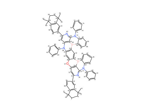 CC1(C)CCC(C)(C)c2cc(-c3cc4c5c(n3)N(c3ccccc3)c3ccccc3B5c3cc5c(cc3O4)N(c3ccccc3)c3cc(-c4ccc6c(c4)C(C)(C)CCC6(C)C)nc4c3B5c3ccccc3N4c3ccccc3)ccc21